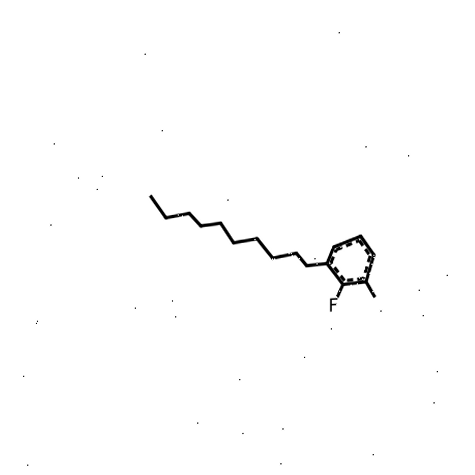 CCCCCCCCCCc1cccc(C)c1F